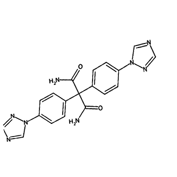 NC(=O)C(C(N)=O)(c1ccc(-n2cncn2)cc1)c1ccc(-n2cncn2)cc1